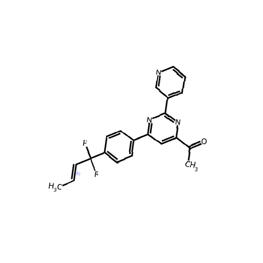 C/C=C/C(F)(F)c1ccc(-c2cc(C(C)=O)nc(-c3cccnc3)n2)cc1